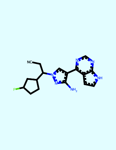 N#CCC(C1CCC(F)C1)n1cc(-c2ncnc3[nH]ccc23)c(N)n1